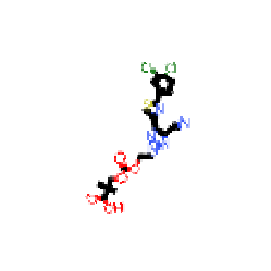 CC(C)(COC(=O)OCCn1nc(C#N)c(-c2csc(-c3ccc(Cl)c(Cl)c3)n2)n1)C(=O)O